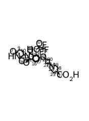 O=C(O)C(F)(F)F.O=C1CCC(N2C(=O)c3ccc(OC4CC(N5CCC(C(=O)O)CC5)C4)cc3C2=O)C(=O)N1